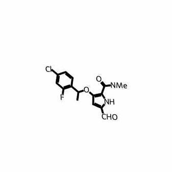 CNC(=O)c1[nH]c(C=O)cc1OC(C)c1ccc(Cl)cc1F